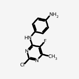 Cc1nc(Cl)nc(Nc2ccc(N)cc2)c1F